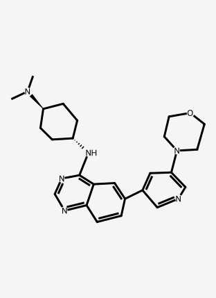 CN(C)[C@H]1CC[C@H](Nc2ncnc3ccc(-c4cncc(N5CCOCC5)c4)cc23)CC1